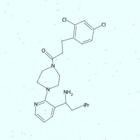 CC(C)CC(N)c1cccnc1N1CCN(C(=O)CCc2ccc(Cl)cc2Cl)CC1